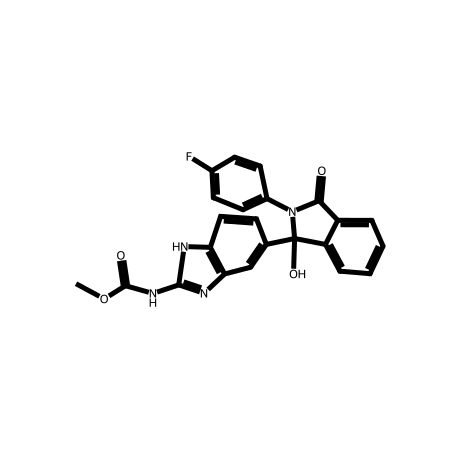 COC(=O)Nc1nc2cc(C3(O)c4ccccc4C(=O)N3c3ccc(F)cc3)ccc2[nH]1